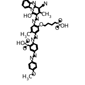 COc1ccc(N=Nc2ccc(N=Nc3cc(OCCCCS(=O)(=O)O)c(N=Nc4c(C)c(C#N)c5nc6ccccc6n5c4O)cc3C)c(S(=O)(=O)O)c2)cc1